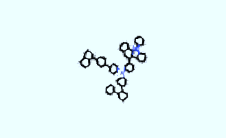 c1ccc(-c2ccccc2-c2ccc(N(c3ccc(-c4ccc(-c5cccc6ccccc56)cc4)cc3)c3cccc(-c4cc5ccccc5c5c4c4ccccc4n5-c4ccccc4)c3)cc2)cc1